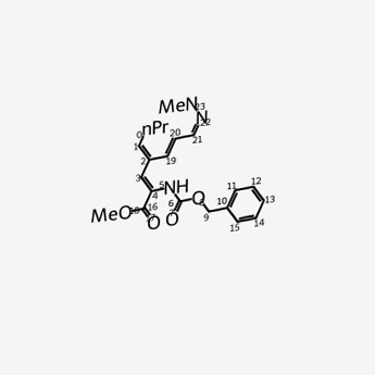 CCC/C=C(/C=C(\NC(=O)OCc1ccccc1)C(=O)OC)\C=C\C=N/NC